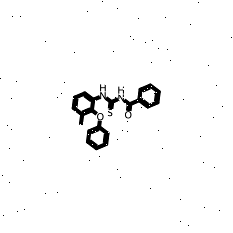 Cc1cccc(NC(=S)NC(=O)c2ccccc2)c1Oc1ccccc1